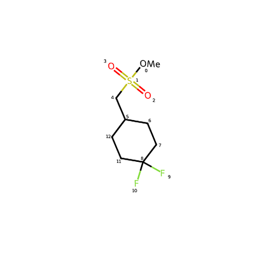 COS(=O)(=O)CC1CCC(F)(F)CC1